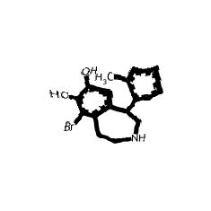 Cc1ccccc1C1CNCCc2c1cc(O)c(O)c2Br